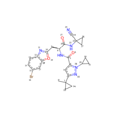 CC1(c2cc(C(=O)N[C@@H](Cc3nc4ccc(Br)cc4o3)C(=O)NC3(C#N)CC3)n(C3CC3)n2)CC1